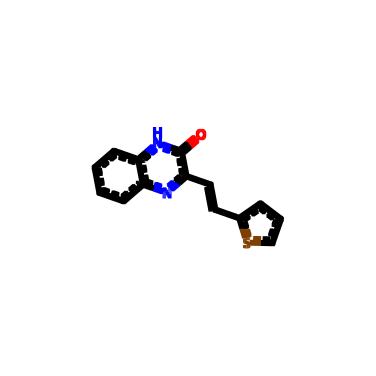 O=c1[nH]c2ccccc2nc1C=Cc1cccs1